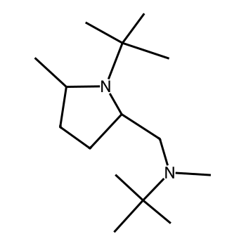 CC1CCC(CN(C)C(C)(C)C)N1C(C)(C)C